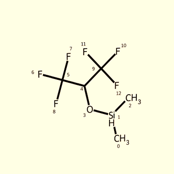 C[SiH](C)OC(C(F)(F)F)C(F)(F)F